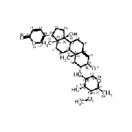 CO[C@@H]1[C@@H](O)[C@@H](O)[C@H](O[C@@H]2C=C3CCC4C(CC[C@]5(C)[C@@H](c6ccc(=O)oc6)CC[C@]45O)[C@@]3(C)CC2)O[C@H]1C